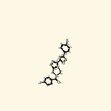 O=C(c1ccc(F)cc1)N1CCn2c(nnc2-c2nc(-c3ccc(F)cc3)no2)C1